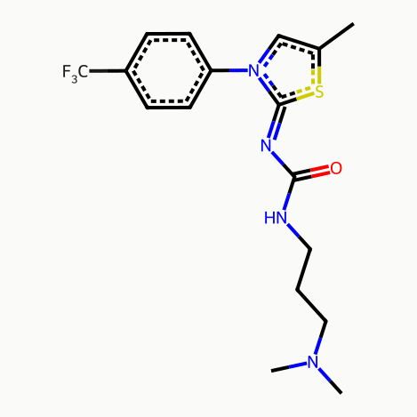 Cc1cn(-c2ccc(C(F)(F)F)cc2)c(=NC(=O)NCCCN(C)C)s1